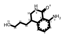 Nc1cccc2c1C(=O)NCC2CCCO